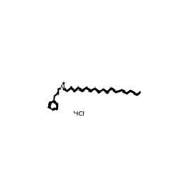 CCCCCCCCCCCCCCCCCCN(C)CCCc1ccccc1.Cl